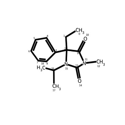 CCC1(c2ccccc2)C(=O)N(C)C(=O)N1C(C)C